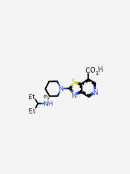 CCC(CC)N[C@@H]1CCCN(c2nc3cncc(C(=O)O)c3s2)C1